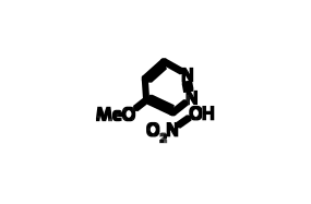 COc1ccnnc1.O=[N+]([O-])O